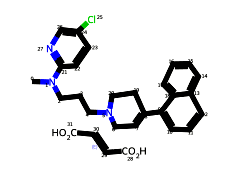 CN(CCCN1CC=C(c2cccc3ccccc23)CC1)c1ccc(Cl)cn1.O=C(O)/C=C/C(=O)O